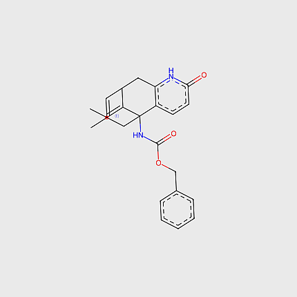 C/C=C1\C2C=C(C)CC1(NC(=O)OCc1ccccc1)c1ccc(=O)[nH]c1C2